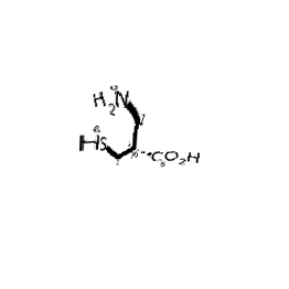 NC[C@@H](CS)C(=O)O